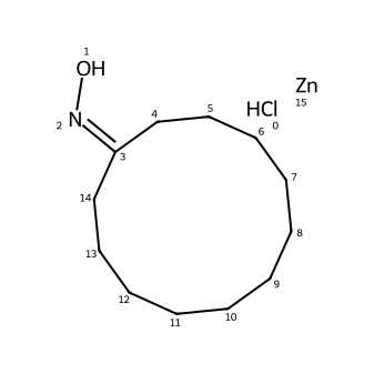 Cl.ON=C1CCCCCCCCCCC1.[Zn]